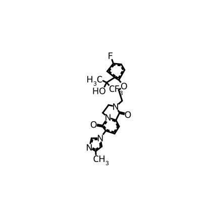 Cc1cn(-c2ccc3n(c2=O)CCN(CCOc2ccc(F)cc2C(C)(O)C(F)(F)F)C3=O)cn1